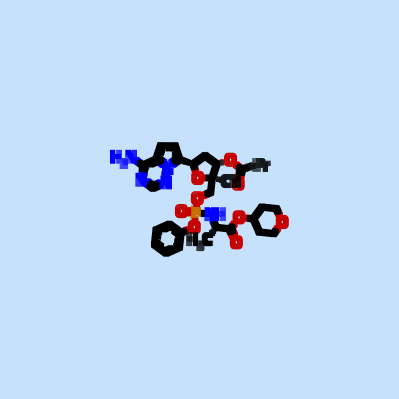 CC(C)C(=O)O[C@H]1C[C@H](c2ccc3c(N)ncnn23)O[C@]1(C#N)COP(=O)(N[C@@H](C)C(=O)OC1CCOCC1)Oc1ccccc1